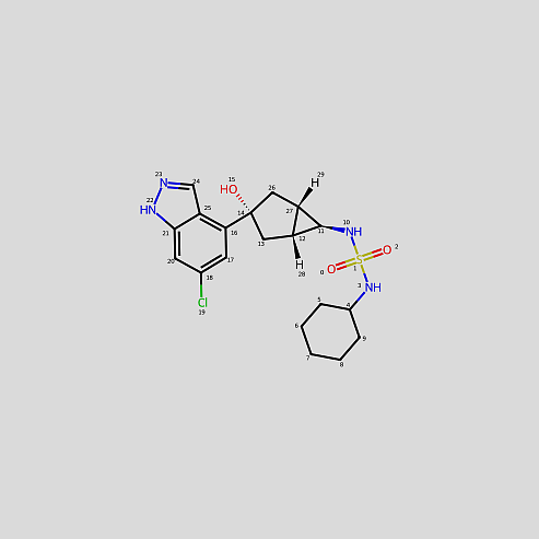 O=S(=O)(NC1CCCCC1)N[C@H]1[C@@H]2C[C@@](O)(c3cc(Cl)cc4[nH]ncc34)C[C@@H]21